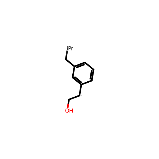 CC(C)Cc1cccc([CH]CO)c1